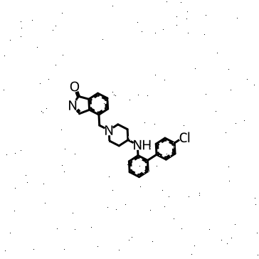 O=C1N=Cc2c(CN3CCC(Nc4ccccc4-c4ccc(Cl)cc4)CC3)cccc21